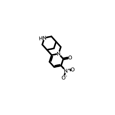 O=c1c([N+](=O)[O-])ccc2n1CC1CNCC2C1